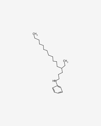 CCCCCCCCCCCCC(CC)CCCNc1ccccc1